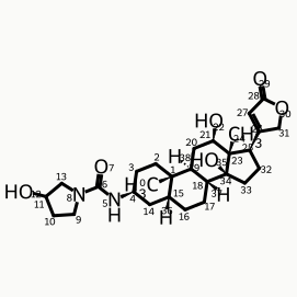 C[C@]12CC[C@H](NC(=O)N3CCC(O)C3)C[C@H]1CC[C@@H]1[C@@H]2C[C@@H](O)[C@]2(C)[C@@H](C3=CC(=O)OC3)CC[C@]12O